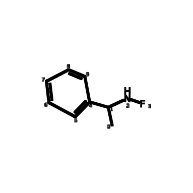 CC(NF)c1ccccc1